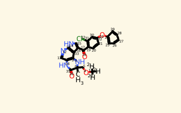 [2H]C([2H])([2H])OCC1(C)Nc2c(cnc3[nH]cc(C(=O)c4ccc(Oc5ccccc5)cc4Cl)c23)NC1=O